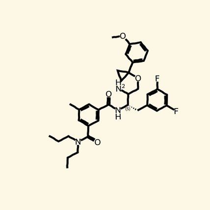 CCCN(CCC)C(=O)c1cc(C)cc(C(=O)N[C@@H](Cc2cc(F)cc(F)c2)C(N)COC2(c3cccc(OC)c3)CC2)c1